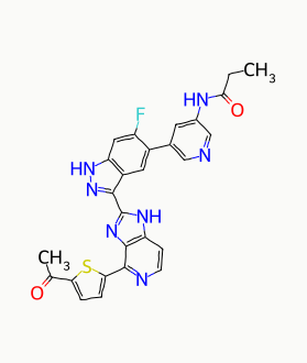 CCC(=O)Nc1cncc(-c2cc3c(-c4nc5c(-c6ccc(C(C)=O)s6)nccc5[nH]4)n[nH]c3cc2F)c1